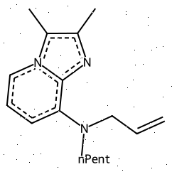 C=CCN(CCCCC)c1cccn2c(C)c(C)nc12